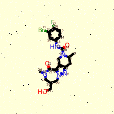 CC1Cc2nn3c(c2CN1C(=O)Nc1ccc(F)c(Br)c1)C(=O)N(C)CC(CO)C3